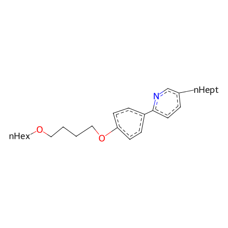 CCCCCCCc1ccc(-c2ccc(OCCCCOCCCCCC)cc2)nc1